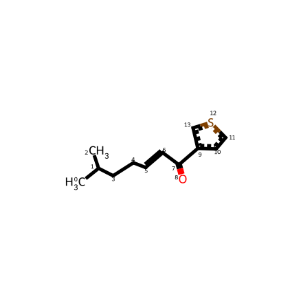 CC(C)CCC=CC(=O)c1ccsc1